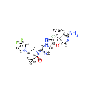 CNc1c(N)ncc(Oc2cnn3cc(N(CCN4CCC(F)(F)C4)C(=O)C4CC4)ncc23)c1Cl